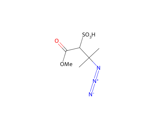 COC(=O)C(C(C)(C)N=[N+]=[N-])S(=O)(=O)O